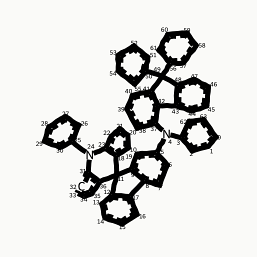 c1ccc(N(c2ccc3c(c2)C2(c4ccccc4-3)c3ccccc3N(c3ccccc3)c3ccccc32)c2cccc3c2-c2ccccc2C3(c2ccccc2)c2ccccc2)cc1